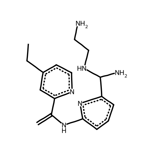 C=C(Nc1cccc(C(N)NCCN)n1)c1cc(CC)ccn1